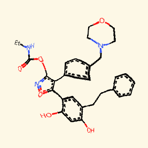 CCNC(=O)Oc1noc(-c2cc(CCc3ccccc3)c(O)cc2O)c1-c1ccc(CN2CCOCC2)cc1